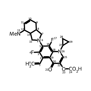 C=Cc1c(F)c(N2CC3CC=CC(NC)C3C2)c(F)c2c1c(=O)c(OC(=O)O)cn2C1CC1